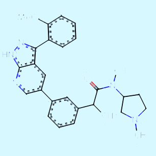 COc1ccccc1-c1n[nH]c2ncc(-c3cccc(C(C)C(=O)N(C)C4CCN(C)C4)c3)cc12